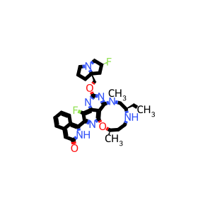 CC[C@@H]1CN(C)c2nc(OC[C@@]34CCCN3C[C@H](F)C4)nc3c(F)c(-c4[nH]c(=O)cc5ccccc45)nc(c23)O[C@@H](C)CCN1